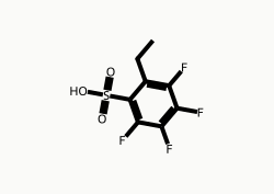 CCc1c(F)c(F)c(F)c(F)c1S(=O)(=O)O